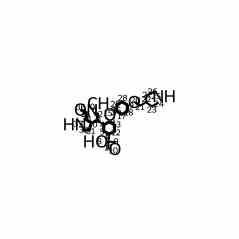 Cn1cc(-c2cc(C3(O)COC3)ccc2Oc2ccc(OCC3CCNCC3)cc2)c2cc[nH]c2c1=O